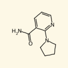 NC(=O)c1cccnc1N1CCCC1